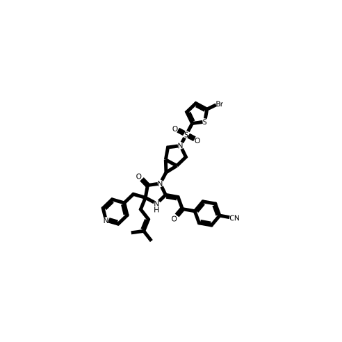 CC(C)=CCC1(Cc2ccncc2)NC(=CC(=O)c2ccc(C#N)cc2)N(C2C3CN(S(=O)(=O)c4ccc(Br)s4)CC32)C1=O